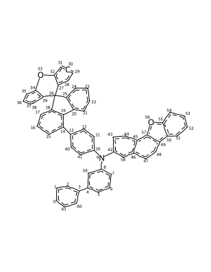 c1ccc(-c2cccc(N(c3ccc(-c4cccc5c4-c4ccccc4C54c5ccccc5Oc5ccccc54)cc3)c3ccc4c(ccc5c6ccccc6oc45)c3)c2)cc1